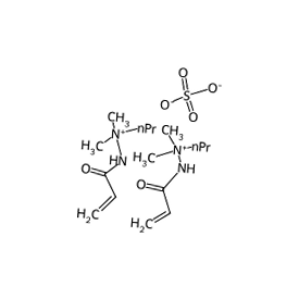 C=CC(=O)N[N+](C)(C)CCC.C=CC(=O)N[N+](C)(C)CCC.O=S(=O)([O-])[O-]